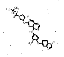 Cc1cc(Nc2ncnc3cnc(O[C@@H]4CN(C(=O)OC(C)(C)C)C[C@@H]4F)nc23)ccc1Oc1ccc2c(c1)ncn2C